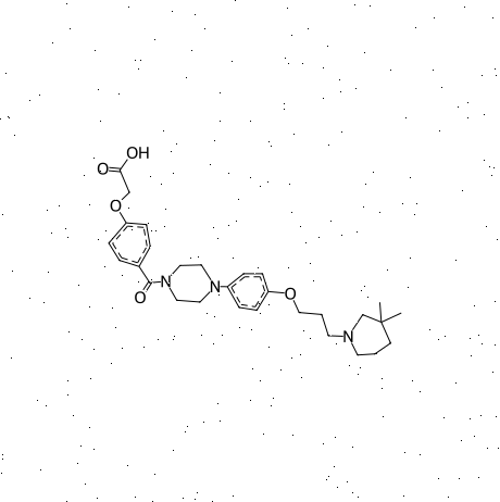 CC1(C)CCCN(CCCOc2ccc(N3CCN(C(=O)c4ccc(OCC(=O)O)cc4)CC3)cc2)C1